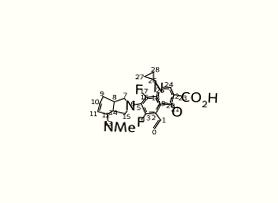 C=Cc1c(F)c(N2CC3CC=CC(NC)C3C2)c(F)c2c1c(=O)c(C(=O)O)cn2C1CC1